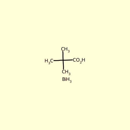 CC(C)(C)C(=O)O.[BiH3]